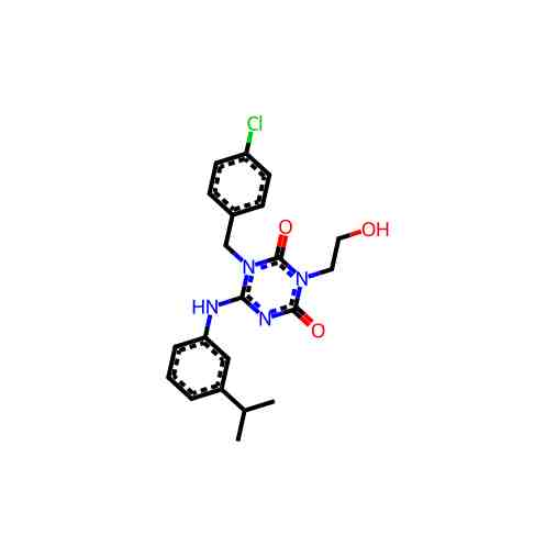 CC(C)c1cccc(Nc2nc(=O)n(CCO)c(=O)n2Cc2ccc(Cl)cc2)c1